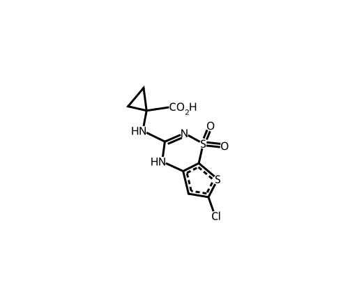 O=C(O)C1(NC2=NS(=O)(=O)c3sc(Cl)cc3N2)CC1